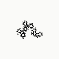 c1cc(-c2ccc3c(c2)ncc2sc4ccccc4c23)cc(-n2c3ccccc3c3cc(-n4c5ccccc5c5ccccc54)ccc32)c1